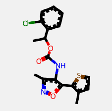 Cc1ccsc1-c1onc(C)c1NC(=O)OC(C)c1ccccc1Cl